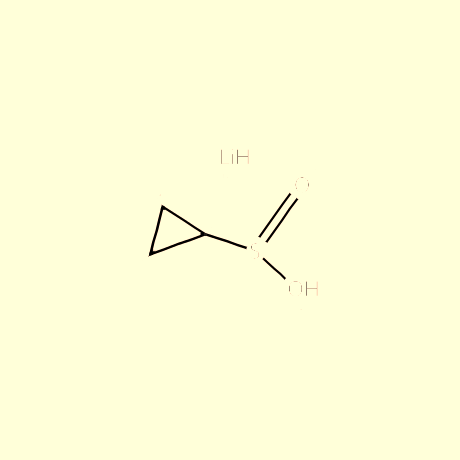 O=S(O)C1CC1.[LiH]